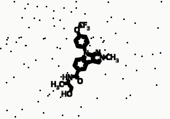 CC(CO)NC(=O)c1ccc2c(c1)c1cn(C)nc1n2-c1ccc(OC(F)(F)F)cc1